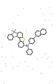 CC1(C)c2ccccc2-c2c1ccc1sc3c(N(c4ccccc4)c4ccc(-c5ccc6ccccc6c5)cc4)cccc3c21